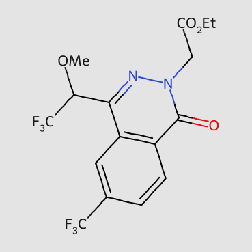 CCOC(=O)Cn1nc(C(OC)C(F)(F)F)c2cc(C(F)(F)F)ccc2c1=O